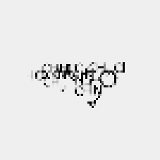 CC1N(C)C(C2=C(\NCC3CC3)CC=C=C(Cl)/C=C\2)=CC(=O)N1CC(=O)N1CC(C(C)(C)O)C1